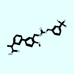 COc1ccc(-c2cccc(C(C)C(=O)O)c2)cc1CNC(=O)OCc1cccc(C(F)(F)F)c1